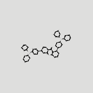 O=c1c2ccc(-c3ccc(N(c4ccccc4)c4ccccc4)cc3)cc2sc2cccc(-c3ccc(N(c4ccccc4)c4ccccc4)cc3)c12